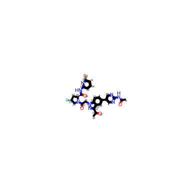 CC(=O)Nc1ncc(-c2ccc3c(c2)c(C(C)=O)nn3CC(=O)N2C[C@H](F)C[C@H]2C(=O)Nc2cccc(Br)n2)cn1